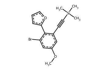 COc1cc(Br)c(-c2ccco2)c(C#C[Si](C)(C)C)c1